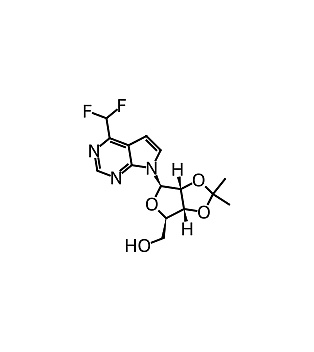 CC1(C)O[C@@H]2[C@H](O1)[C@@H](CO)O[C@H]2n1ccc2c(C(F)F)ncnc21